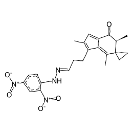 CC1=C(CCC=NNc2ccc([N+](=O)[O-])cc2[N+](=O)[O-])C2=C(C)C3(CC3)[C@H](C)C(=O)C2=C1